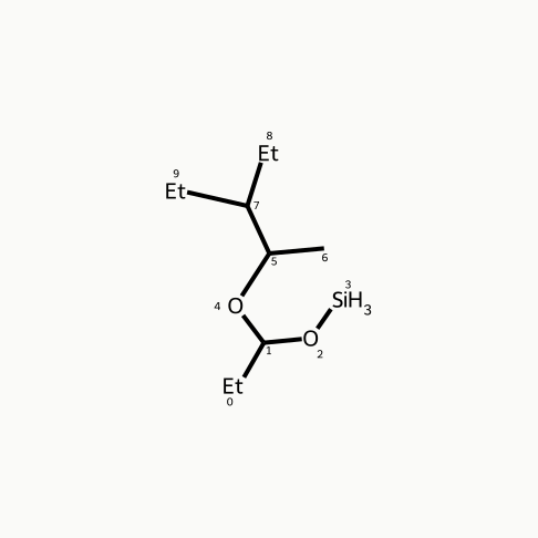 CCC(O[SiH3])OC(C)C(CC)CC